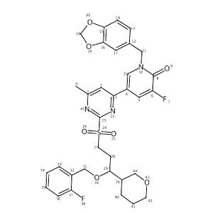 Cc1cc(-c2cc(F)c(=O)n(Cc3ccc4c(c3)OCO4)c2)nc(S(=O)(=O)CCC(OCc2ccccc2F)C2CCCOC2)n1